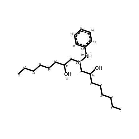 CCCCCCC(O)CN(CC(O)CCCCCC)Nc1ccccc1